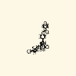 CC(C)(C)C(=O)n1nc(C2CCN(CC(=O)N3CCOCC3)CC2)cc1NCc1ccc(Cl)s1